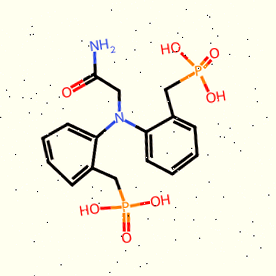 NC(=O)CN(c1ccccc1CP(=O)(O)O)c1ccccc1CP(=O)(O)O